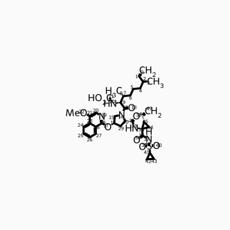 C=CC(C)CCC[C@@H](C)[C@H](NC(=O)O)C(=O)N1C[C@H](Oc2ncc(OC)c3ccccc23)C[C@H]1C(=O)N[C@]1(C(=O)NS(=O)(=O)C2CC2)C[C@H]1C=C